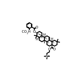 CC1(C)CC[C@]2(C(=O)OCC[N+](C)(C)C)CC[C@]3(C)C(=CC[C@@H]4[C@@]5(C)CC[C@H](OC(=O)c6ccccc6C(=O)O)C(C)(C)[C@@H]5CC[C@]43C)[C@@H]2C1